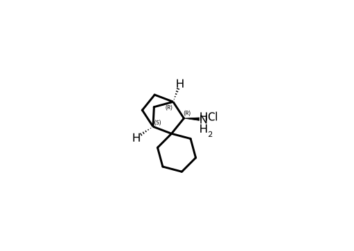 Cl.N[C@@H]1[C@@H]2CC[C@@H](C2)C12CCCCC2